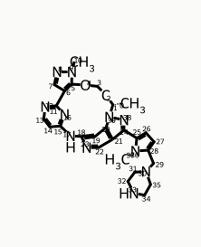 C[C@H]1CCOc2c(cnn2C)-c2nccc(n2)Nc2cc3c(cn2)c(-c2ccc(CN4CCNCC4)n2C)nn31